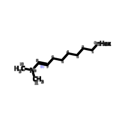 CCCCCCCCCCCC/C=C/N(C)C